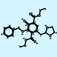 CCOC(=O)c1cn(CC2OCCO2)c(C(=O)OCC)c(OCc2ccccc2)c1=O